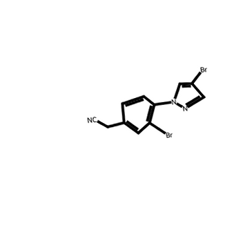 N#CCc1ccc(-n2cc(Br)cn2)c(Br)c1